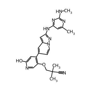 CNc1nc(C)cc(Nc2cc3cc(-c4cc(O)ncc4OCC(C)(C)C#N)ccn3n2)n1